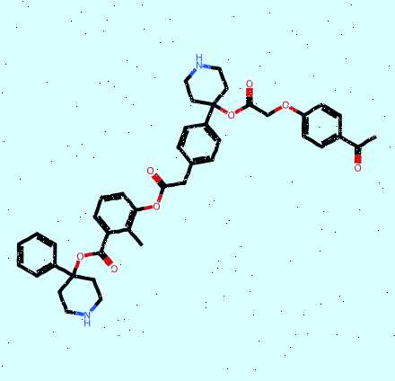 CC(=O)c1ccc(OCC(=O)OC2(c3ccc(CC(=O)Oc4cccc(C(=O)OC5(c6ccccc6)CCNCC5)c4C)cc3)CCNCC2)cc1